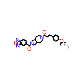 O=C(/C=C/c1ccc(OC(F)(F)F)cc1)N1CCC2CN(C(=O)c3ccc4nonc4c3)CC2CC1